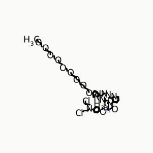 COCCOCCOCCOCCOCCOCCOCCOCCOc1ccc(C2=NNC(c3ncccc3N(C)C(=O)/C=C/Oc3ccc(N(CCCl)CCCl)cc3)=NN2)nc1